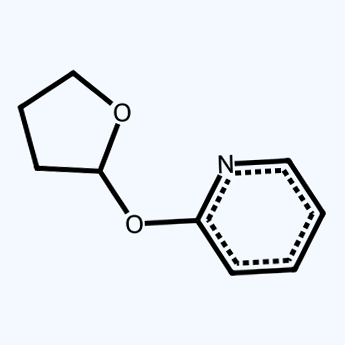 c1ccc(OC2CCCO2)nc1